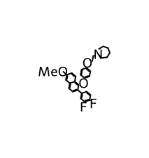 COc1ccc2c(Oc3ccc(OCCN4CCCCCC4)cc3)c(-c3ccc(F)c(F)c3)ccc2c1